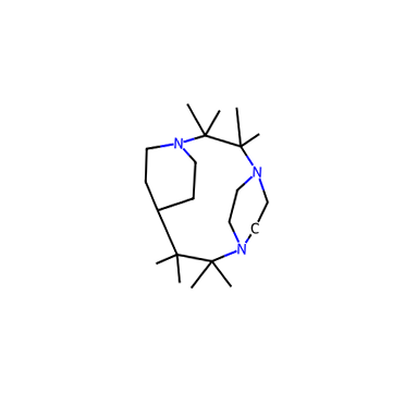 CC1(C)C2CCN(CC2)C(C)(C)C(C)(C)N2CCN(CC2)C1(C)C